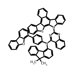 CC1(C)c2ccccc2-c2c(N(c3ccc(-c4cccc5c4oc4ccccc45)cc3)c3nc(-n4c5ccccc5c5c6ccccc6c6c7ccccc7sc6c54)nc4ccccc34)cccc21